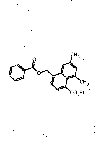 CCOC(=O)c1nnc(COC(=O)c2ccccc2)c2cc(C)cc(C)c12